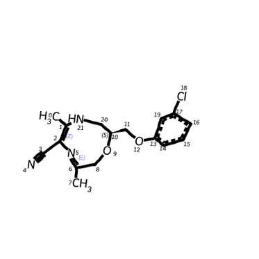 C/C1=C(C#N)/N=C(\C)CO[C@H](COc2cccc(Cl)c2)CN1